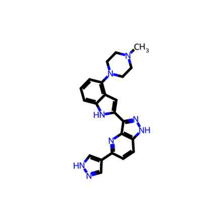 CN1CCN(c2cccc3[nH]c(-c4n[nH]c5ccc(-c6cn[nH]c6)nc45)cc23)CC1